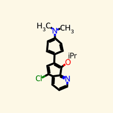 CC(C)Oc1c(-c2ccc(N(C)C)cc2)cc(Cl)c2cccnc12